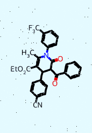 CCOC(=O)C1=C(C)N(c2cccc(C(F)(F)F)c2)C(=O)C(C(=O)c2ccccc2)C1c1ccc(C#N)cc1